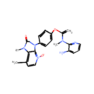 C=C(Oc1ccc(-n2c(=O)n(CC)c3c(C)cc[n+]([O-])c32)cc1)N(C)c1ncccc1N